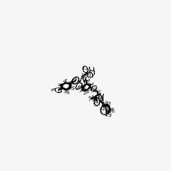 COc1ccc(OC(=O)N(CC(=O)O)Cc2cccc(OCCc3nc(-c4ccco4)oc3C)c2)cc1